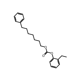 CCc1ccccc1OC(=O)OCCCCCCCc1ccccc1